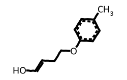 Cc1ccc(OCC/C=C/O)cc1